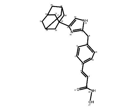 O=C(/C=C/c1ccc(Cc2nc(C34CC5CC(CC(C5)C3)C4)c[nH]2)cc1)NO